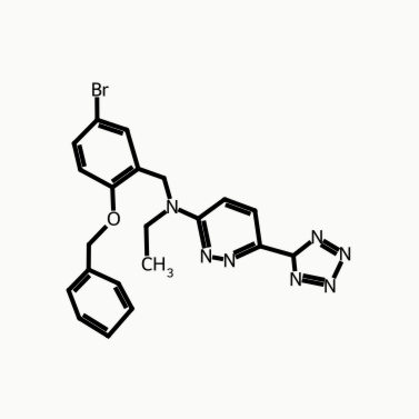 CCN(Cc1cc(Br)ccc1OCc1ccccc1)c1ccc(C2N=NN=N2)nn1